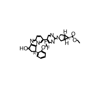 CCOC(=O)[C@H]1[C@@H]2CN(c3ncc(-c4ccc5nc6c(n5c4)[C@@H](c4ccccc4OC(F)F)C[C@H]6O)cn3)C[C@@H]21